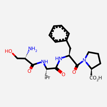 CC(C)[C@H](NC(=O)[C@@H](N)CO)C(=O)N[C@@H](Cc1ccccc1)C(=O)N1CCC[C@H]1C(=O)O